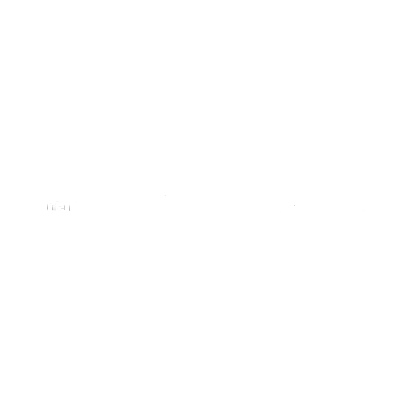 [CH2]C=CC=CC=CC=CCCCC